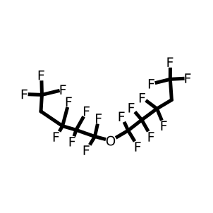 FC(F)(F)CC(F)(F)C(F)(F)C(F)(F)OC(F)(F)C(F)(F)C(F)(F)CC(F)(F)F